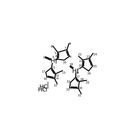 Cl.Cl.[CH2]=[Hf]([C]1=C(C)C(C)=CC1)[C]1=C(C)C(C)=CC1.[CH2]=[Hf]([C]1=C(C)C(C)=CC1)[C]1=C(C)C(C)=CC1